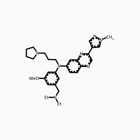 CCN(CC)Cc1cc(OC)cc(N(CCCN2CCCC2)c2ccc3ncc(-c4cnn(C)c4)nc3c2)c1